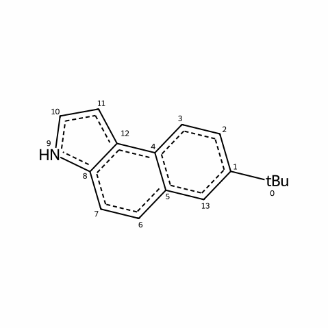 CC(C)(C)c1ccc2c(ccc3[nH]ccc32)c1